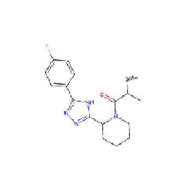 CSC(C)C(=O)N1CCCCC1c1nnc(-c2ccc(F)cc2)[nH]1